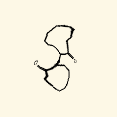 O=C1CCCCCC1C1CCCCCC1=O